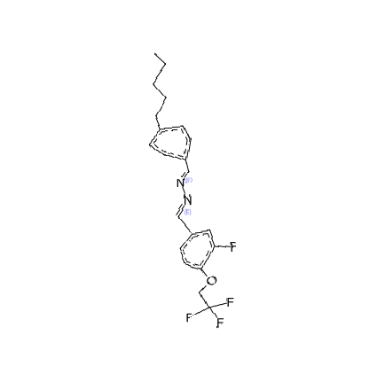 CCCCCc1ccc(/C=N/N=C/c2ccc(OCC(F)(F)F)c(F)c2)cc1